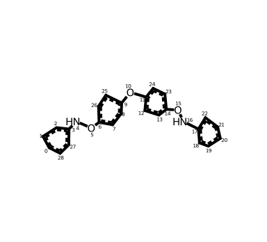 c1ccc(NOc2ccc(Oc3ccc(ONc4ccccc4)cc3)cc2)cc1